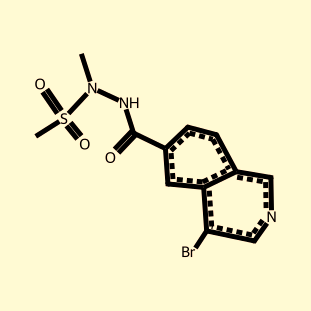 CN(NC(=O)c1ccc2cncc(Br)c2c1)S(C)(=O)=O